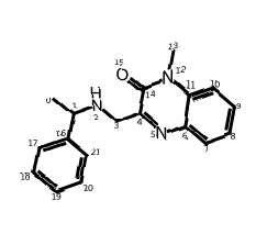 CC(NCc1nc2ccccc2n(C)c1=O)c1ccccc1